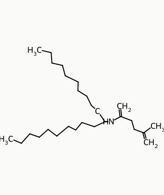 C=C(C)CCC(=C)NC(CCCCCCCCCC)CCCCCCCCCC